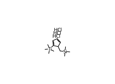 C[Si](C)(C)CC1C=CC=[C]1[Ti]([CH3])([CH3])([CH3])[CH3].Cl.Cl.Cl